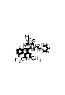 Cc1cc(-c2c(-c3ccccc3)nc(N)n3c(=O)n(CCN4CCCCC4)nc23)cc(C)n1